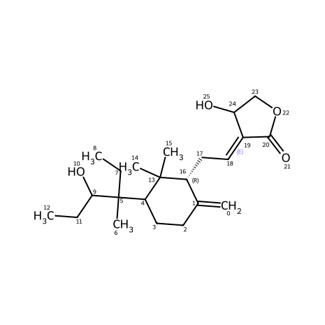 C=C1CCC(C(C)(CC)C(O)CC)C(C)(C)[C@@H]1C/C=C1/C(=O)OCC1O